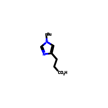 CCCCn1cnc(CCC(=O)O)c1